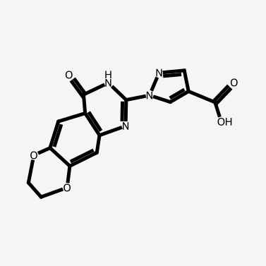 O=C(O)c1cnn(-c2nc3cc4c(cc3c(=O)[nH]2)OCCO4)c1